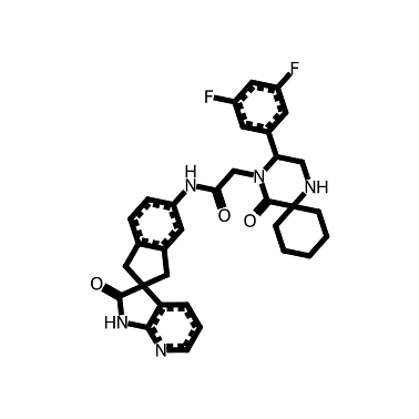 O=C(CN1C(=O)C2(CCCCC2)NCC1c1cc(F)cc(F)c1)Nc1ccc2c(c1)CC1(C2)C(=O)Nc2ncccc21